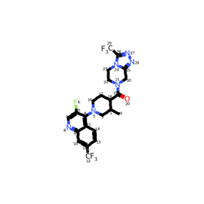 CC1CN(c2c(F)cnc3cc(C(F)(F)F)ccc23)CCC1C(=O)N1CCn2c(nnc2C(F)(F)F)C1